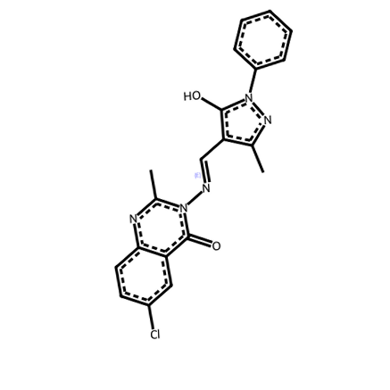 Cc1nn(-c2ccccc2)c(O)c1/C=N/n1c(C)nc2ccc(Cl)cc2c1=O